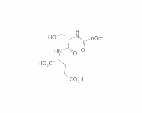 CCCCCCCCC(=O)N[C@@H](CO)C(=O)N[C@H](CCC(=O)O)C(=O)O